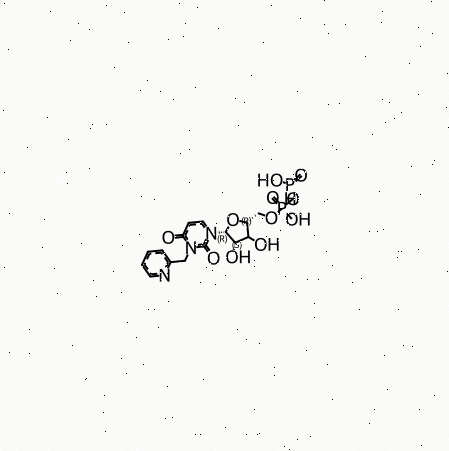 O=c1ccn([C@@H]2O[C@H](COP(=O)(O)O[PH](=O)O)C(O)[C@@H]2O)c(=O)n1Cc1ccccn1